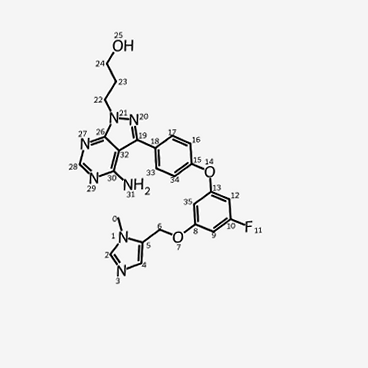 Cn1cncc1COc1cc(F)cc(Oc2ccc(-c3nn(CCCO)c4ncnc(N)c34)cc2)c1